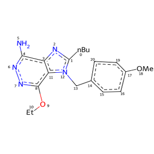 CCCCc1nc2c(N)nnc(OCC)c2n1Cc1ccc(OC)cc1